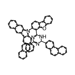 c1ccc2cc(C3=NC(c4ccc5c(ccc6ccccc65)c4)NC(c4c(-n5c6cc7ccccc7cc6c6cc7ccccc7cc65)ccc5c4oc4ccccc45)=N3)ccc2c1